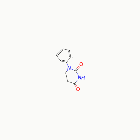 O=C1CCN(c2[c]cccc2)C(=O)N1